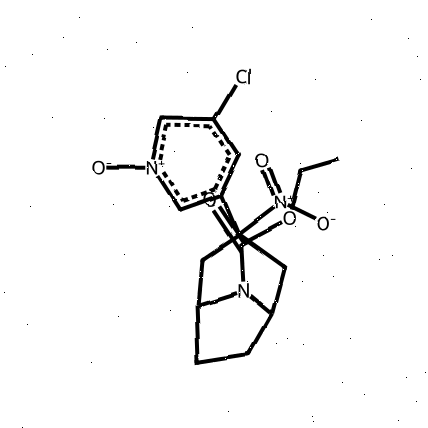 CCOC(=O)N1C2CCC1CC(c1cc(Cl)c[n+]([O-])c1)([N+](=O)[O-])C2